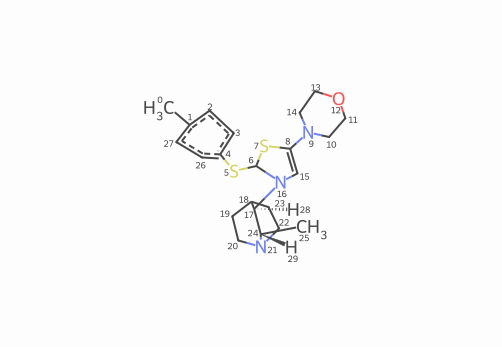 Cc1ccc(SC2SC(N3CCOCC3)=CN2[C@@H]2C3CCN(CC3)[C@H]2C)cc1